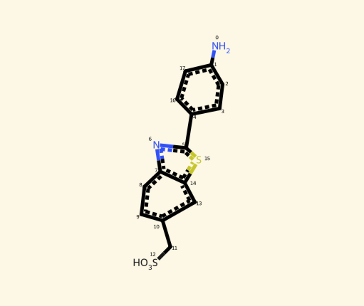 Nc1ccc(-c2nc3ccc(CS(=O)(=O)O)cc3s2)cc1